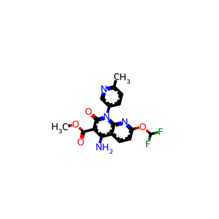 COC(=O)c1c(N)c2ccc(OC(F)F)nc2n(-c2ccc(C)nc2)c1=O